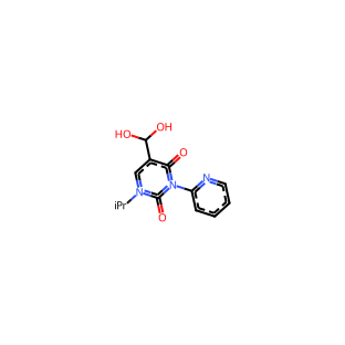 CC(C)n1cc(C(O)O)c(=O)n(-c2ccccn2)c1=O